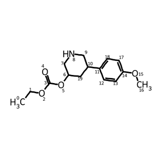 CCOC(=O)OC1CNCC(c2ccc(OC)cc2)C1